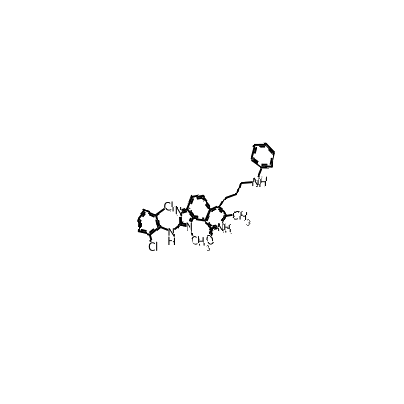 Cc1[nH]c(=O)c2c(ccc3nc(Nc4c(Cl)cccc4Cl)n(C)c32)c1CCCNc1ccccc1